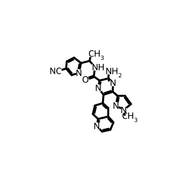 CC(NC(=O)c1nc(-c2ccc3ncccc3c2)c(-c2ccn(C)n2)nc1N)c1ccc(C#N)cn1